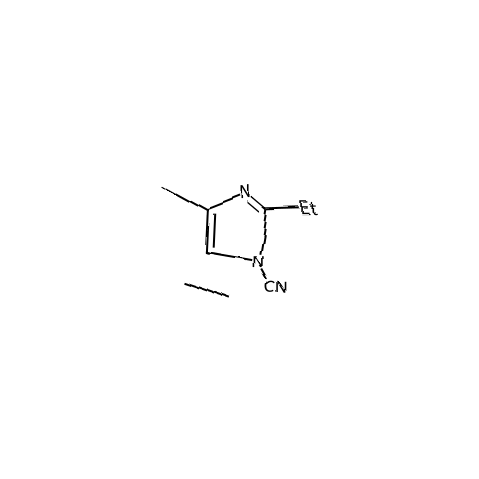 CC.CCc1nc(C)cn1C#N